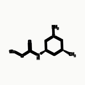 C[C@@H]1C[C@H](NC(=O)OC(C)(C)C)CN(N)C1